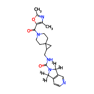 [2H]C1([2H])c2ccncc2C([2H])([2H])N1C(=O)NCC1CC12CCN(C(=O)c1oc(C)nc1C)CC2